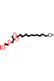 CCCCCCCCCCCC1OCC(COCCO)O1